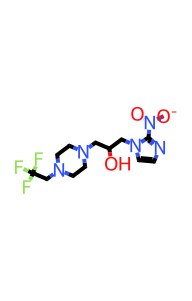 O=[N+]([O-])c1nccn1CC(O)CN1CCN(CC(F)(F)F)CC1